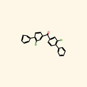 O=C(c1ccc(-c2ccccc2)c(Br)c1)c1ccc(-c2ccccc2)c(Br)c1